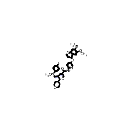 COc1cc2nccc(Oc3ccc(NC(=O)/C(C=O)=C/C(=C\N(C)c4ccc(F)cc4)CC4CCOCC4)nc3)c2cc1OC